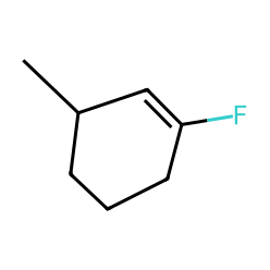 CC1C=C(F)CCC1